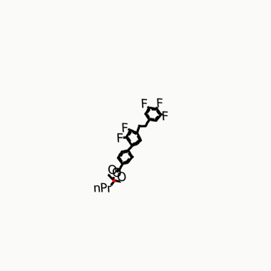 CCCC12COC(c3ccc(-c4ccc(CCc5cc(F)c(F)c(F)c5)c(F)c4F)cc3)(OC1)OC2